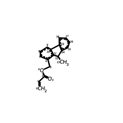 C=CC(=O)OCc1cccc2c1C(C)c1ccccc1-2